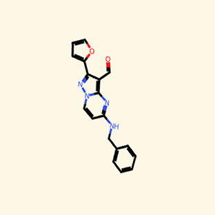 O=Cc1c(-c2ccco2)nn2ccc(NCc3ccccc3)nc12